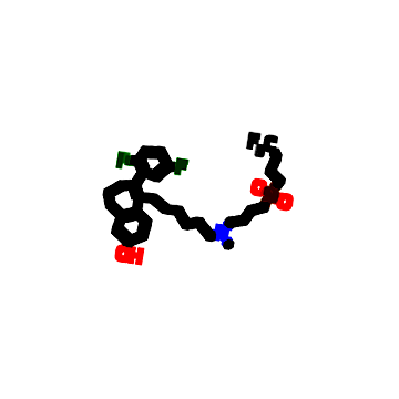 CN(CCCCCCC1=C(c2cc(F)ccc2F)CCCc2cc(O)ccc21)CCCCS(=O)(=O)CCCC(F)(F)F